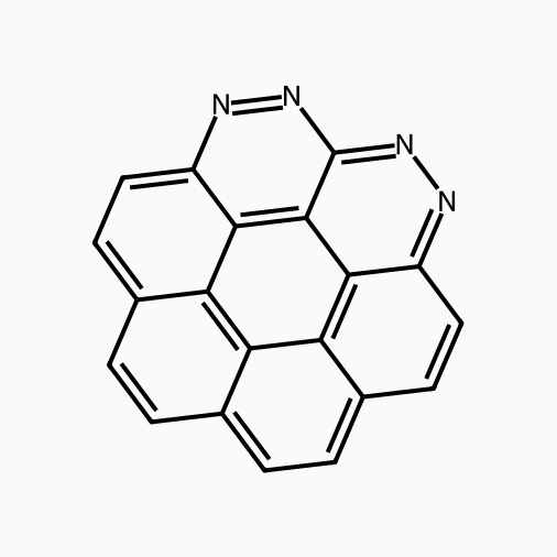 c1cc2ccc3nnc4nnc5ccc6ccc1c1c2c3c4c5c61